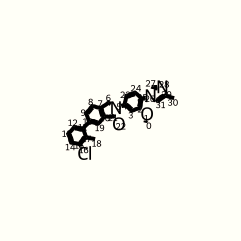 COc1cc(N2Cc3ccc(-c4cccc(Cl)c4C)cc3C2=O)ccc1-n1cnc(C)c1